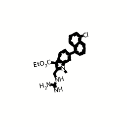 CCOC(=O)c1c(CNC(=N)N)n(C)c2cc(-c3cccc4c(Cl)cccc34)ccc12